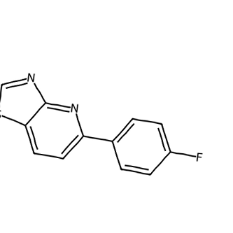 Fc1ccc(-c2ccc3scnc3n2)cc1